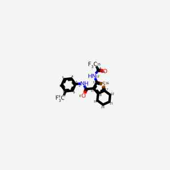 O=C(Nc1cccc(C(F)(F)F)c1)c1c(NC(=O)C(F)(F)F)sc2c1CCCC2